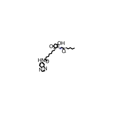 CCCCC[C@@H](/C=C/[C@H]1[C@H](O)CC(=O)[C@@H]1CCCCCCC(=O)Nc1ccc2nccnc2c1)OC